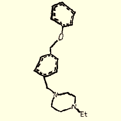 CCN1CCN(Cc2ccc(COc3ccccc3)cc2)CC1